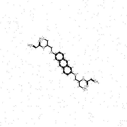 C=CC(=O)OC(CC)COc1ccc2cc3cc(OCC(CC)OC(=O)C=C)ccc3cc2c1